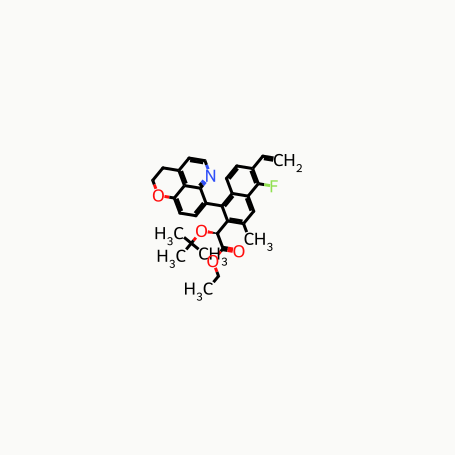 C=Cc1ccc2c(-c3ccc4c5c(ccnc35)CCO4)c([C@H](OC(C)(C)C)C(=O)OCC)c(C)cc2c1F